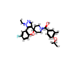 CCn1ncc2c1-c1cc(F)ccc1OC21CCN(C(=O)c2ccc(OC(C)C)c(C)c2)CC1